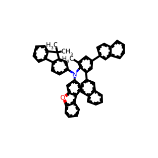 Cc1cc(-c2ccc3ccccc3c2)cc(-c2ccc3ccccc3c2)c1N(c1ccc2c(c1)C(C)(C)c1ccccc1-2)c1ccc2c(c1)oc1ccccc12